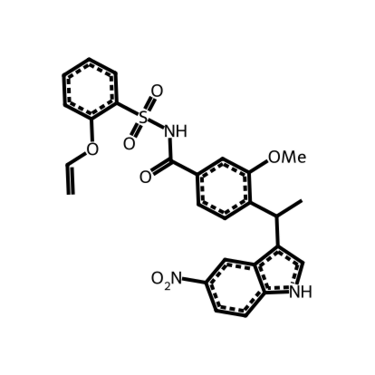 C=COc1ccccc1S(=O)(=O)NC(=O)c1ccc(C(C)c2c[nH]c3ccc([N+](=O)[O-])cc23)c(OC)c1